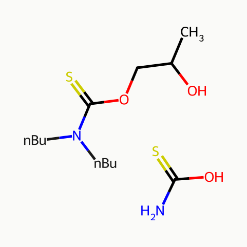 CCCCN(CCCC)C(=S)OCC(C)O.NC(O)=S